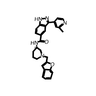 Cc1cc(-c2n[nH]c3ccc(C(=O)N[C@@H]4CCCN(Cc5cc6ccccc6o5)C4)cc23)ccn1